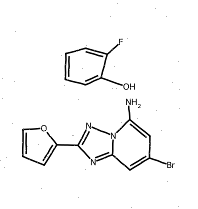 Nc1cc(Br)cc2nc(-c3ccco3)nn12.Oc1ccccc1F